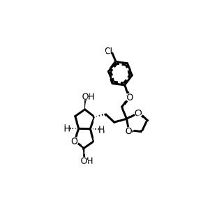 OC1C[C@@H]2[C@@H](CCC3(COc4ccc(Cl)cc4)OCCO3)[C@H](O)C[C@@H]2O1